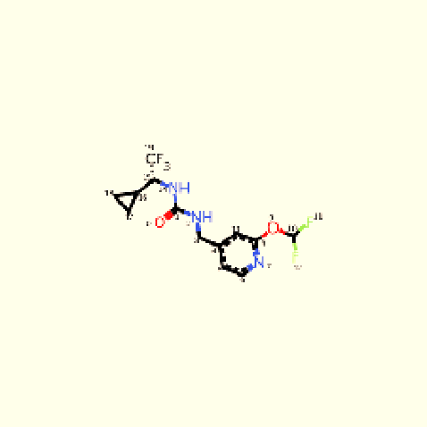 O=C(NCc1ccnc(OC(F)F)c1)N[C@H](C1CC1)C(F)(F)F